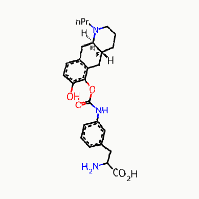 CCCN1CCC[C@@H]2Cc3c(ccc(O)c3OC(=O)Nc3cccc(CC(N)C(=O)O)c3)C[C@H]21